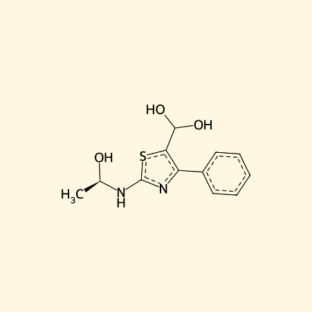 C[C@@H](O)Nc1nc(-c2ccccc2)c(C(O)O)s1